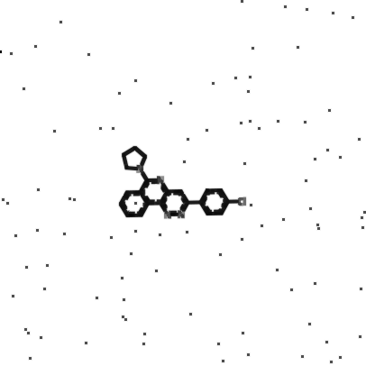 Clc1ccc(-c2cc3nc(N4CCCC4)c4ccccc4c3nn2)cc1